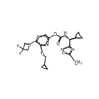 Cc1nc([C@@H](NC(=O)Oc2cnc(N3CC(F)(F)C3)c(OCC3CC3)n2)C2CC2)no1